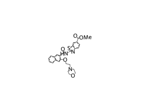 COC(=O)c1ccc2nc(NC(=O)c3cc4ccccc4cc3OCCN3CCOCC3)sc2c1